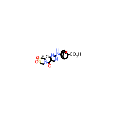 O=C(c1cnc(NC23CCC4(C(=O)O)CC(CC(C2)C4)C3)nc1C(F)(F)F)N1CCS(=O)(=O)CC1